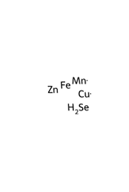 [Cu].[Fe].[Mn].[SeH2].[Zn]